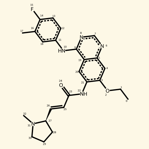 CCOc1cc2ncnc(Nc3ccc(F)c(C)c3)c2cc1NC(=O)/C=C/[C@H]1CCCN1C